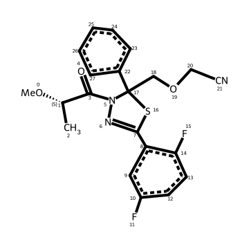 CO[C@@H](C)C(=O)N1N=C(c2cc(F)ccc2F)SC1(COCC#N)c1ccccc1